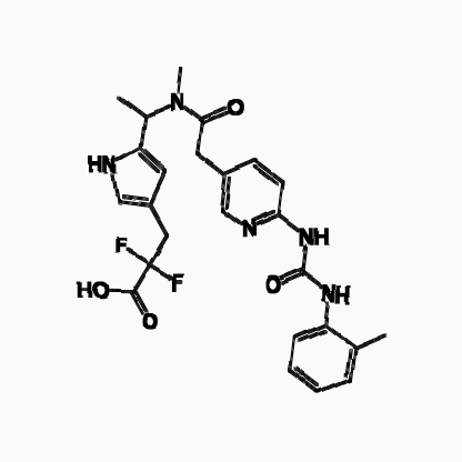 Cc1ccccc1NC(=O)Nc1ccc(CC(=O)N(C)C(C)c2cc(CC(F)(F)C(=O)O)c[nH]2)cn1